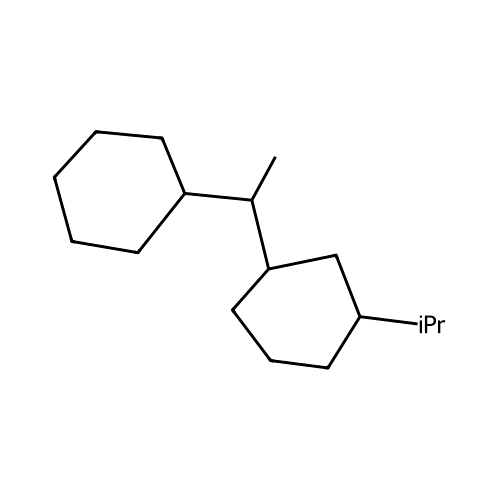 CC(C)C1CCCC(C(C)C2CCCCC2)C1